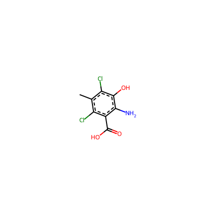 Cc1c(Cl)c(O)c(N)c(C(=O)O)c1Cl